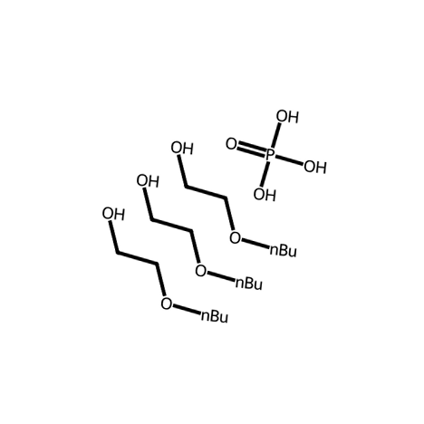 CCCCOCCO.CCCCOCCO.CCCCOCCO.O=P(O)(O)O